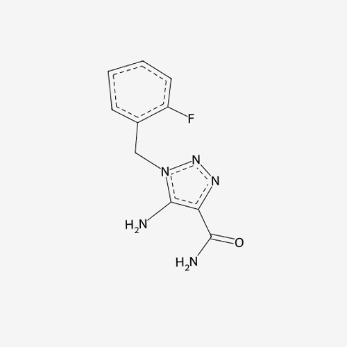 NC(=O)c1nnn(Cc2ccccc2F)c1N